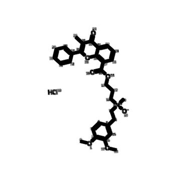 COc1ccc(CC[N+](C)([O-])CCCOC(=O)c2cccc3c(=O)c(C)c(-c4ccccc4)oc23)cc1OC.Cl